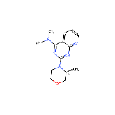 CCCN(C)c1nc(N2CCOC[C@@H]2C)nc2ncccc12